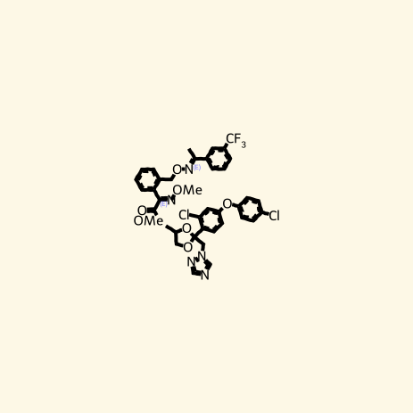 CC1COC(Cn2cncn2)(c2ccc(Oc3ccc(Cl)cc3)cc2Cl)O1.CO/N=C(/C(=O)OC)c1ccccc1CO/N=C(\C)c1cccc(C(F)(F)F)c1